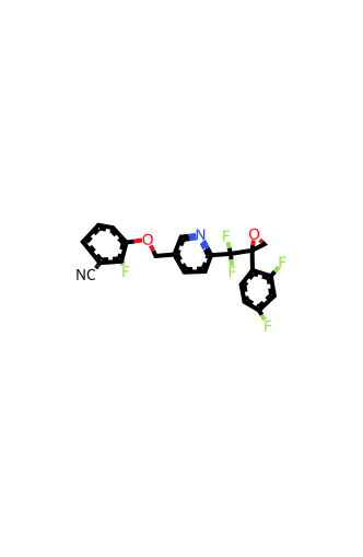 N#Cc1cccc(OCc2ccc(C(F)(F)C3(c4ccc(F)cc4F)CO3)nc2)c1F